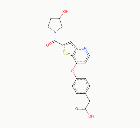 O=C(O)Cc1ccc(Oc2ccnc3cc(C(=O)N4CCC(O)C4)sc23)cc1